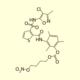 Cc1cc(C)c(OC(=O)OCCCCO[N+](=O)[O-])c(C)c1NC(=O)c1sccc1S(=O)(=O)Nc1onc(C)c1Cl